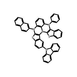 c1ccc(N2c3cccc4c3B(c3sc5ccccc5c32)c2c(sc3ccc(-n5c6ccccc6c6ccccc65)cc23)N4c2ccc3ccccc3c2)cc1